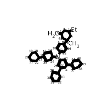 C=C1CC(CC)CC(C)(c2ccc(N(c3ccc(C4CCCCC4)cc3)c3cc(-c4ccccc4)cc(-c4ccccc4)c3)cc2)C1